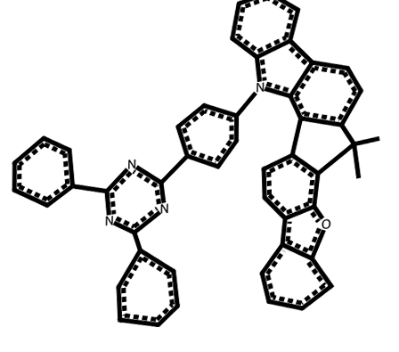 CC1(C)c2ccc3c4ccccc4n(-c4ccc(-c5nc(-c6ccccc6)nc(-c6ccccc6)n5)cc4)c3c2-c2ccc3c(oc4ccccc43)c21